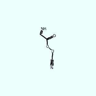 N#COOC(=O)C=N